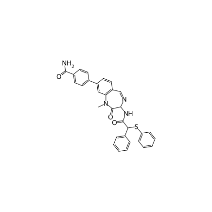 CN1C(=O)C(NC(=O)C(Sc2ccccc2)c2ccccc2)N=Cc2ccc(-c3ccc(C(N)=O)cc3)cc21